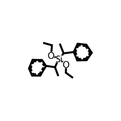 CCO[Si](OCC)(C(C)c1ccccc1)C(C)c1ccccc1